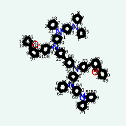 c1ccc(N(c2ccccc2)c2ccc(N(c3ccccc3)c3ccc(N(c4ccc(-c5ccc(N(c6ccc(-c7cccc8c7oc7ccccc78)cc6)c6ccc(N(c7ccccc7)c7ccc(-n8c9ccccc9c9ccccc98)cc7)cc6)cc5)cc4)c4ccc(-c5cccc6c5oc5ccccc56)cc4)cc3)cc2)cc1